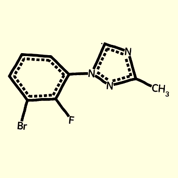 Cc1n[c]n(-c2cccc(Br)c2F)n1